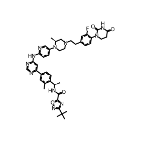 Cc1cc(-c2cc(Nc3ccc(N4CCN(CCc5ccc(N6CCC(=O)NC6=O)c(F)c5)C[C@@H]4C)cn3)ncn2)ccc1[C@@H](C)NC(=O)c1nc(C(C)(C)C)no1